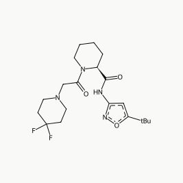 CC(C)(C)c1cc(NC(=O)[C@@H]2CCCCN2C(=O)CN2CCC(F)(F)CC2)no1